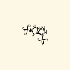 CC(C)(C)c1nnn2c1CN(C(C)(C)C)C2